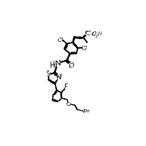 CC(=Cc1c(Cl)cc(C(=O)Nc2nc(-c3cccc(COCCC(C)C)c3F)cs2)cc1Cl)C(=O)O